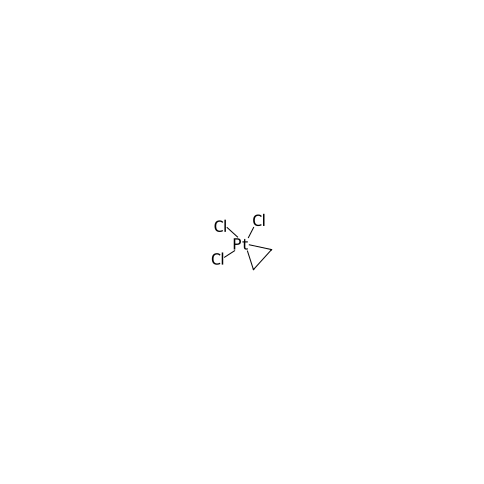 [Cl][Pt]1([Cl])([Cl])[CH2][CH2]1